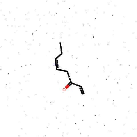 C=CC(=O)C/C=C\CC